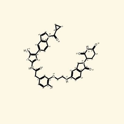 Cc1sc(NC(=O)Cc2ccc(F)c(OCCNc3ccc4c(c3)CN(C3CCC(=O)NC3=O)C4=O)c2)nc1-c1ccc2c(ccn2C(=O)C2CC2)c1